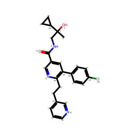 CC(O)(CNC(=O)c1cnc(CCc2cccnc2)c(-c2ccc(Cl)cc2)c1)C1CC1